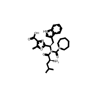 Cc1oc([C@@H](Cc2c[nH]c3ccccc23)N(C(=O)[C@@H](N)CC(C)C)C(=O)N2CCCCCC2)nc1C(=O)O